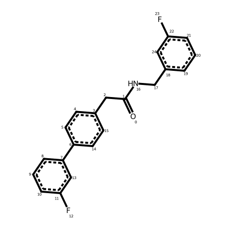 O=C(Cc1ccc(-c2cccc(F)c2)cc1)NCc1cccc(F)c1